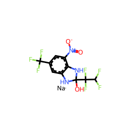 O=[N+]([O-])c1cc(C(F)(F)F)cc2c1NC(O)(C(F)(F)C(F)F)N2.[Na]